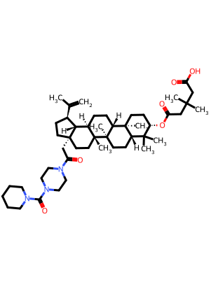 C=C(C)[C@@H]1CC[C@]2(CC(=O)N3CCN(C(=O)N4CCCCC4)CC3)CC[C@]3(C)[C@H](CC[C@@H]4[C@@]5(C)CC[C@H](OC(=O)CC(C)(C)CC(=O)O)C(C)(C)[C@@H]5CC[C@]43C)[C@@H]12